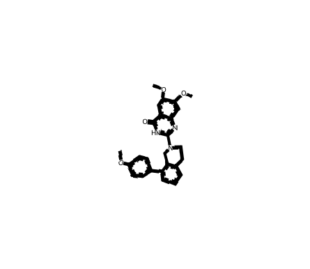 COc1ccc(-c2cccc3c2CN(c2nc4cc(OC)c(OC)cc4c(=O)[nH]2)CC3)cc1